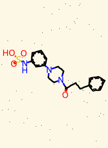 O=C(CCc1ccccc1)N1CCN(c2cccc(NS(=O)(=O)O)c2)CC1